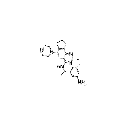 Cc1cc(N)cc(C(C)Nc2nc(C)nc3c4c(c(N5CCOCC5)cc23)CCC4)c1